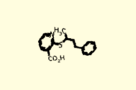 CC(CCc1ccccc1)Sc1ncccc1C(=O)O